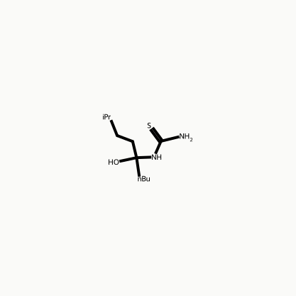 CCCCC(O)(CCC(C)C)NC(N)=S